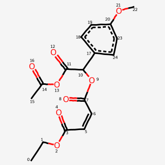 CCOC(=O)/C=C\C(=O)OC(C(=O)OC(C)=O)c1ccc(OC)cc1